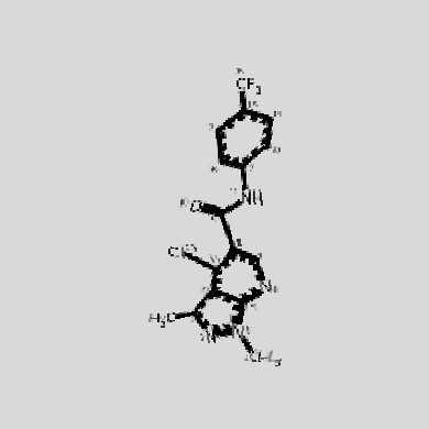 Cc1nn(C)c2ncc(C(=O)Nc3ccc(C(F)(F)F)cc3)c(Cl)c12